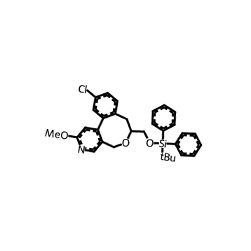 COc1cc2c(cn1)COC(CO[Si](c1ccccc1)(c1ccccc1)C(C)(C)C)Cc1ccc(Cl)cc1-2